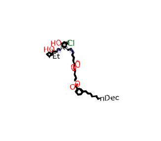 CCCCCCCCCCCCCCCCc1cccc(C(=O)OCCCCOC(=O)CCC/C=C\C[C@@H]2[C@H](/C=C/C[C@H](O)C3(CC)CCC3)[C@H](O)C[C@@H]2Cl)c1